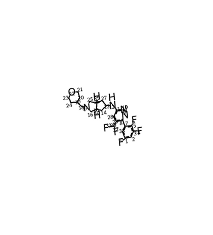 Fc1cc(F)c(F)c(-c2nnc(NC3C[C@@H]4CN(CC5CCOCC5)C[C@@H]4C3)cc2C(F)F)c1